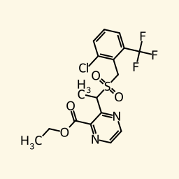 CCOC(=O)c1nccnc1C(C)S(=O)(=O)Cc1c(Cl)cccc1C(F)(F)F